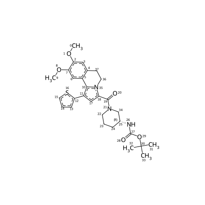 COc1cc2c(cc1OC)-c1c(-c3cccs3)cc(C(=O)N3CCC[C@@H](NC(=O)OC(C)(C)C)C3)n1CC2